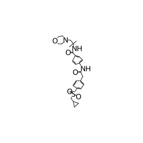 CC(C)(CN1CCOCC1)NC(=O)c1ccc(NC(=O)Cc2ccc(S(=O)(=O)CC3CC3)cc2)cc1